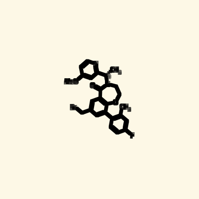 COc1ccnc([C@H](C)N2CCOc3c(cc(CBr)cc3-c3ccc(F)cc3C)C2=O)c1